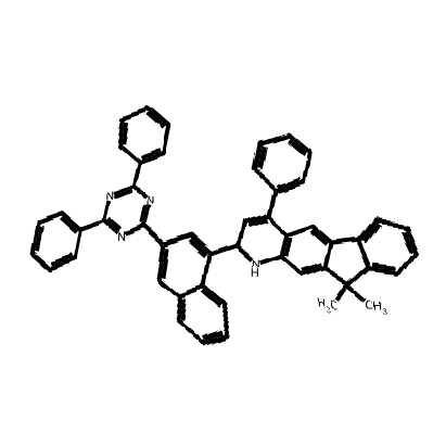 CC1(C)c2ccccc2-c2cc3c(cc21)NC(c1cc(-c2nc(-c4ccccc4)nc(-c4ccccc4)n2)cc2ccccc12)C=C3c1ccccc1